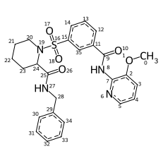 COc1cccnc1NC(=O)c1cccc(S(=O)(=O)N2CCCCC2C(=O)NCc2ccccc2)c1